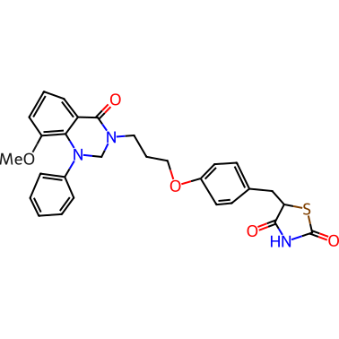 COc1cccc2c1N(c1ccccc1)CN(CCCOc1ccc(CC3SC(=O)NC3=O)cc1)C2=O